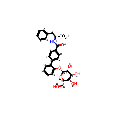 O=C(N[C@H](Cc1ccccc1)C(=O)O)c1ccc(-c2ccccc2O[C@H]2O[C@@H](CO)[C@H](O)[C@@H](O)[C@H]2O)cc1